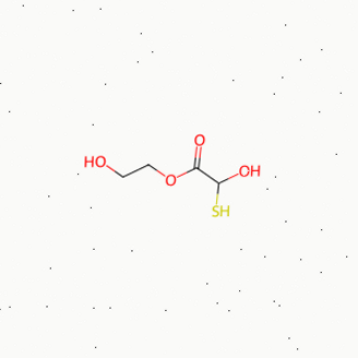 O=C(OCCO)C(O)S